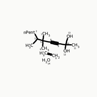 C=C.CCCCCC(C)C(C)(C)C#CC(C)(O)O.O